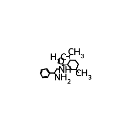 CC(C)[C@@H]1CC[C@@H](C)C[C@H]1C(=O)NC[C@@H](N)c1ccccc1